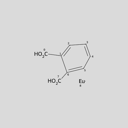 O=C(O)c1ccccc1C(=O)O.[Eu]